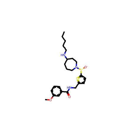 CCCCCNC1CCCN([S+]([O-])c2ccc(CNC(=O)c3cccc(OC)c3)s2)CC1